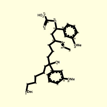 CCCCCCCCCCCCCCCC(C#N)(CCCC(CC(OC(=O)C(=O)O)c1cccc(OC)c1)N=NC)c1cccc(OC)c1